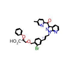 Cc1ccc(C(=O)c2nn(C/C=C/c3ccc(COC[C@@H](Oc4ccccc4)C(=O)O)c(Br)c3)c3ncccc23)nc1